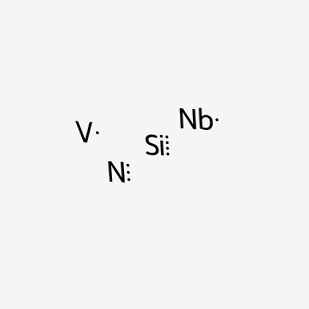 [N].[Nb].[Si].[V]